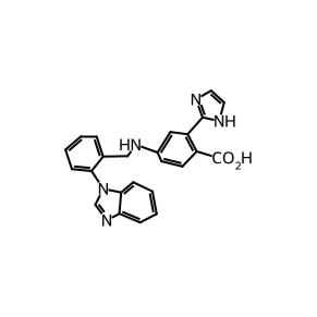 O=C(O)c1ccc(NCc2ccccc2-n2cnc3ccccc32)cc1-c1ncc[nH]1